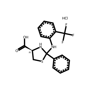 Cl.O=C(O)[C@@H]1CSC(Nc2ccccc2C(F)(F)F)(c2ccccc2)N1